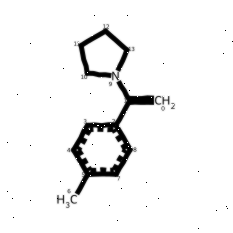 C=C(c1ccc(C)cc1)N1CCCC1